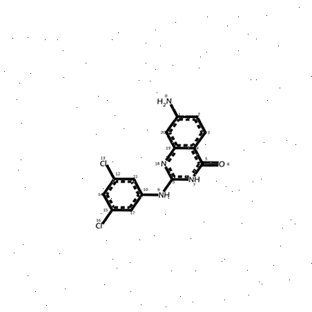 Nc1ccc2c(=O)[nH]c(Nc3cc(Cl)cc(Cl)c3)nc2c1